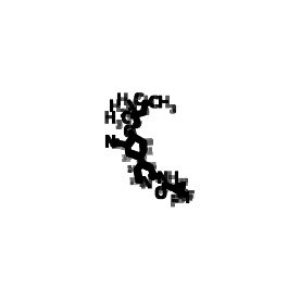 C=C(C)CC(C)(N)COc1ccc(-c2ccnc(NC(=O)C3CC3(F)F)c2)cc1C#N